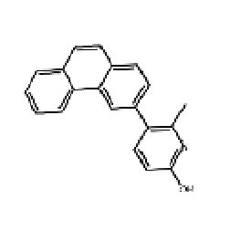 Cc1nc(O)ccc1-c1ccc2ccc3ccccc3c2c1